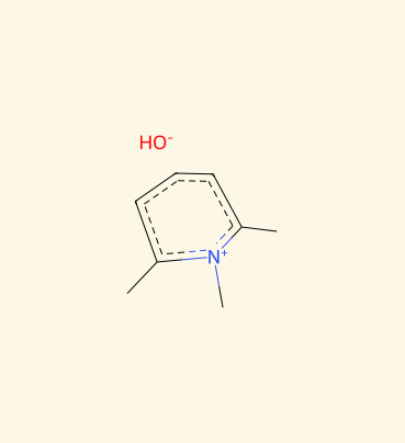 Cc1cccc(C)[n+]1C.[OH-]